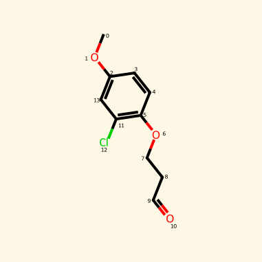 COc1ccc(OCCC=O)c(Cl)c1